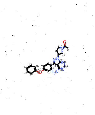 CC(=O)N1CCC(n2nc(-c3ccc(Oc4ccccc4)cc3)c3c(N)ncnc32)C1